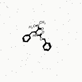 CN(C)C(=O)C(Cc1cc[c]cc1)NC(=O)OCc1ccccc1